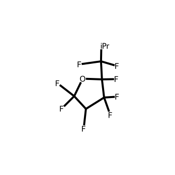 CC(C)C(F)(F)C1(F)OC(F)(F)C(F)C1(F)F